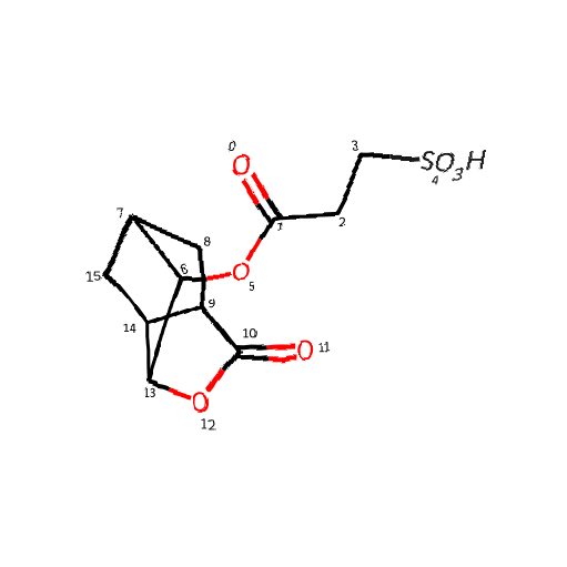 O=C(CCS(=O)(=O)O)OC1C2CC3C(=O)OC1C3C2